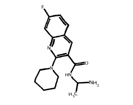 CC(N)NC(=O)c1cc2ccc(F)cc2nc1N1CCCCC1